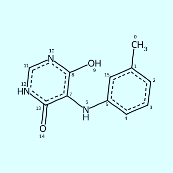 Cc1cccc(Nc2c(O)nc[nH]c2=O)c1